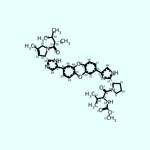 COC(=O)N[C@H](C(=O)N1CCC[C@H]1c1nc(-c2ccc3c(c2)Oc2ccc(-c4cnc([C@@H]5C=C(C)CN5C(=O)[C@@H](C)C(C)C)[nH]4)cc2O3)c[nH]1)C(C)C